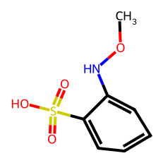 CONc1ccccc1S(=O)(=O)O